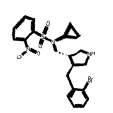 O=[N+]([O-])c1ccccc1S(=O)(=O)N(C[C@@H]1CNC[C@H]1Cc1ccccc1Br)C1CC1